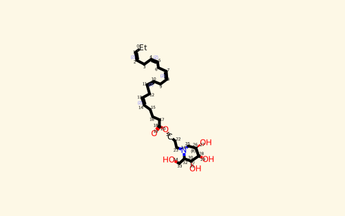 CC/C=C\C/C=C\C/C=C\C/C=C\C/C=C\CCCC(=O)OCCCN1C[C@@H](O)C(O)[C@H](O)C1CO